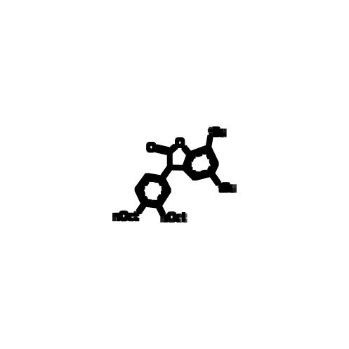 CCCCCCCCc1ccc(C2C(=O)Oc3c2cc(C(C)(C)C)cc3C(C)(C)C)cc1CCCCCCCC